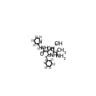 C[C@@H](N)C(=O)NC(Cc1ccccc1)C(O)C(=O)NCc1ccccn1.Cl